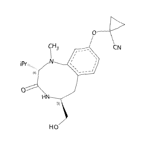 CC(C)[C@H]1C(=O)N[C@H](CO)Cc2ccc(OC3(C#N)CC3)cc2N1C